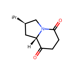 CC(C)[C@@H]1C[C@H]2C(=O)CCC(=O)N2C1